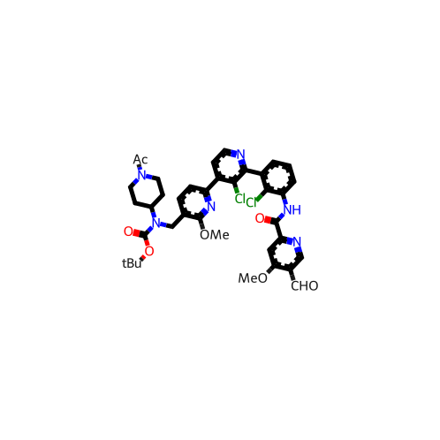 COc1cc(C(=O)Nc2cccc(-c3nccc(-c4ccc(CN(C(=O)OC(C)(C)C)C5CCN(C(C)=O)CC5)c(OC)n4)c3Cl)c2Cl)ncc1C=O